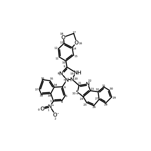 O=[N+]([O-])c1ccc(N2N=C(c3ccc4c(c3)OCO4)NN2c2nc3c(ccc4ccccc43)s2)c2ccccc12